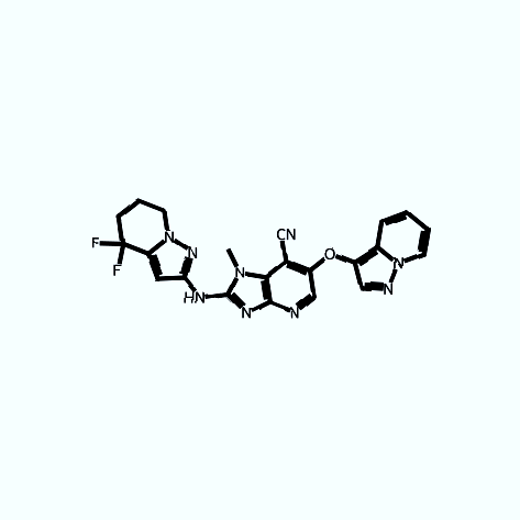 Cn1c(Nc2cc3n(n2)CCCC3(F)F)nc2ncc(Oc3cnn4ccccc34)c(C#N)c21